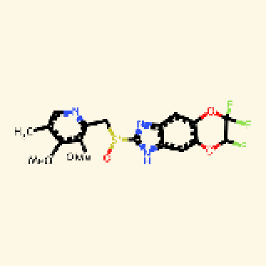 COc1c(C)cnc(C[S+]([O-])c2nc3cc4c(cc3[nH]2)OC(F)C(F)(F)O4)c1OC